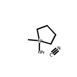 CCC[N+]1(C)CCCC1.[C-]#N